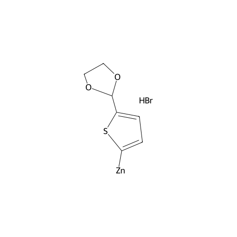 Br.[Zn][c]1ccc(C2OCCO2)s1